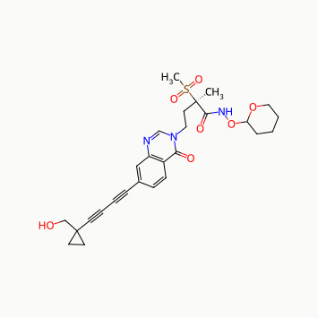 C[C@@](CCn1cnc2cc(C#CC#CC3(CO)CC3)ccc2c1=O)(C(=O)NOC1CCCCO1)S(C)(=O)=O